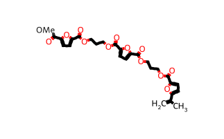 C=C(C)c1ccc(C(=O)OCCCOC(=O)c2ccc(C(=O)OCCCOC(=O)c3ccc(C(=O)OC)o3)o2)o1